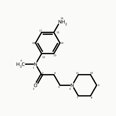 CN(C(=O)CCN1CCCCC1)c1ccc(N)cc1